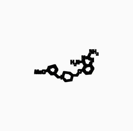 COc1cccc(CN2CCC(COc3cccc4nc(N)nc(N)c34)CC2)c1